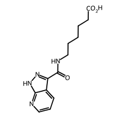 O=C(O)CCCCCNC(=O)c1n[nH]c2ncccc12